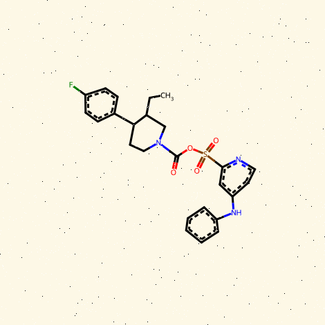 CCC1CN(C(=O)OS(=O)(=O)c2cc(Nc3ccccc3)ccn2)CCC1c1ccc(F)cc1